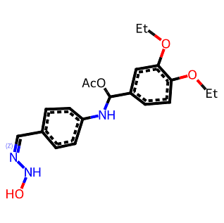 CCOc1ccc(C(Nc2ccc(/C=N\NO)cc2)OC(C)=O)cc1OCC